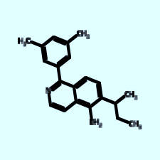 Bc1c(C(C)CC)ccc2c(-c3cc(C)cc(C)c3)nccc12